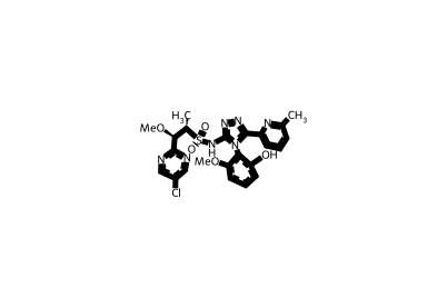 COc1cccc(O)c1-n1c(NS(=O)(=O)[C@@H](C)[C@H](OC)c2ncc(Cl)cn2)nnc1C1=C=C=CC(C)=N1